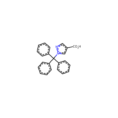 O=C(O)c1cnn(C(c2ccccc2)(c2ccccc2)c2ccccc2)c1